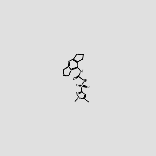 Cc1cc(S(=O)(=O)NC(=O)Nc2c3c(cc4c2CCC4)CCC3)nn1C